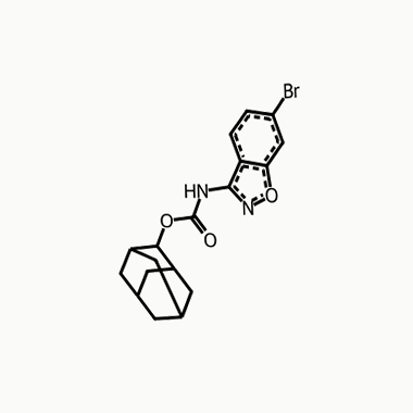 O=C(Nc1noc2cc(Br)ccc12)OC1C2CC3CC(C2)CC1C3